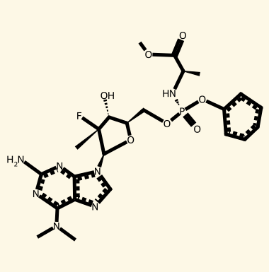 COC(=O)[C@@H](C)N[P@](=O)(OC[C@H]1O[C@@H](n2cnc3c(N(C)C)nc(N)nc32)[C@](C)(F)[C@@H]1O)Oc1ccccc1